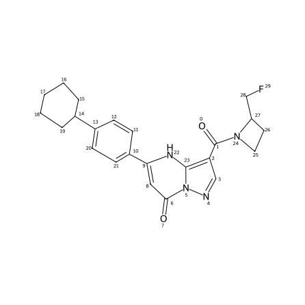 O=C(c1cnn2c(=O)cc(-c3ccc(C4CCCCC4)cc3)[nH]c12)N1CCC1CF